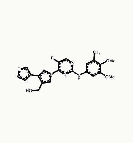 COc1cc(Nc2ncc(F)c(-n3cc(CO)c(-c4ccoc4)c3)n2)cc(C)c1OC